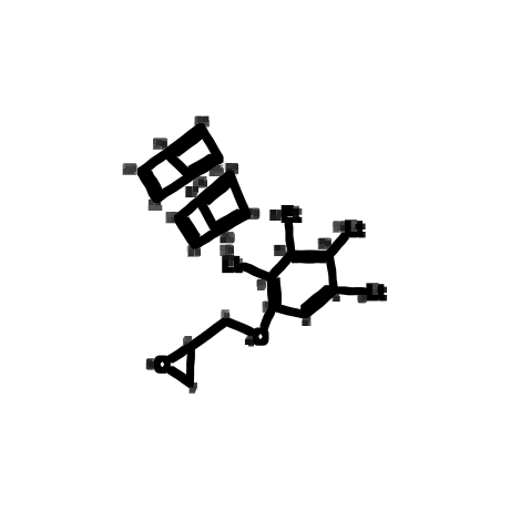 CCc1cc(OCC2CO2)c(CC)c(CC)c1CC.c1cc2ccc1-2.c1cc2ccc1-2